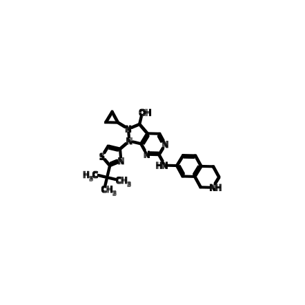 CC(C)(C)c1nc(N2c3nc(Nc4ccc5c(c4)CNCC5)ncc3C(O)N2C2CC2)cs1